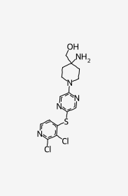 NC1(CO)CCN(c2cnc(Sc3ccnc(Cl)c3Cl)cn2)CC1